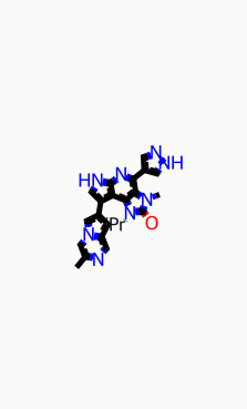 Cc1cn2cc(-c3c[nH]c4nc(-c5cn[nH]c5)c5c(c34)n(C(C)C)c(=O)n5C)cc2cn1